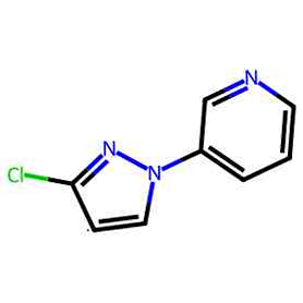 Clc1[c]cn(-c2cccnc2)n1